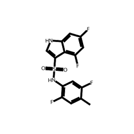 Cc1cc(F)c(NS(=O)(=O)c2c[nH]c3cc(F)cc(F)c23)cc1F